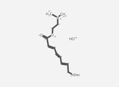 CCCCCCCCCCCC=CC=CC=CC(=O)OCCN(C)C.Cl